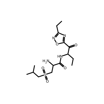 CCc1noc(C(=O)C(CC)NC(=O)C(N)CS(=O)(=O)CC(C)C)n1